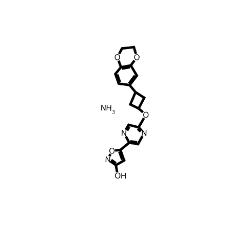 N.Oc1cc(-c2cnc(OC3CC(c4ccc5c(c4)OCCO5)C3)cn2)on1